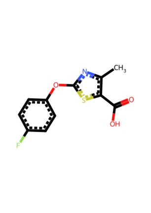 Cc1nc(Oc2ccc(F)cc2)sc1C(=O)O